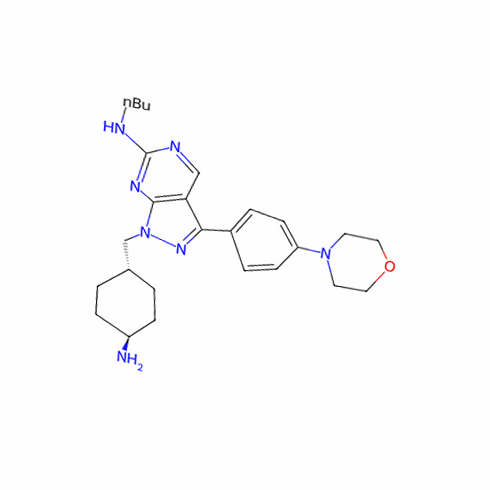 CCCCNc1ncc2c(-c3ccc(N4CCOCC4)cc3)nn(C[C@H]3CC[C@H](N)CC3)c2n1